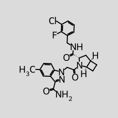 Cc1ccc2c(c1)c(C(N)=O)nn2CC(=O)N1[C@@H]2CC[C@@H]2C[C@H]1C(=O)NCc1cccc(Cl)c1F